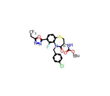 CC(C)(C)OC(=O)N[C@H]1CSc2ccc(-c3nnc(CC(F)(F)F)o3)c(F)c2N(Cc2ccc(Cl)cc2)C1=O